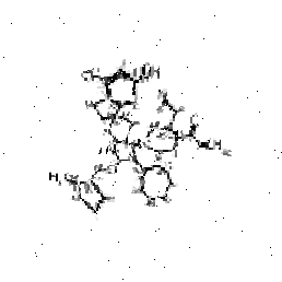 C=CC(=O)N1CCN(C2C3CC[C@]4(CCc5c(Cl)cc(O)cc54)CC3NC(OC[C@H]3CCCN3C)N2C2CCCCCCC2)C[C@H]1CC#N